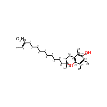 CC=C(CCCCCCCCCCC1(C)CCc2c(C)c(O)c(C)c(C)c2O1)[N+](=O)[O-]